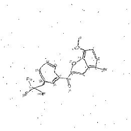 COc1ccc(Br)c2cc(C(=O)c3cccc(C(F)(F)F)c3)oc12